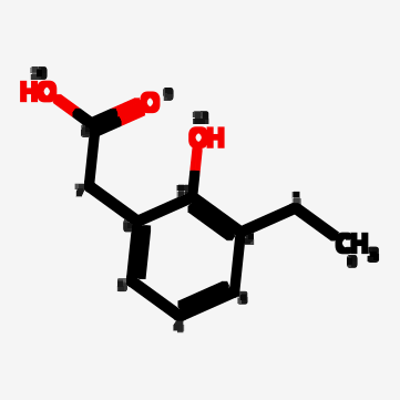 CCc1cccc(CC(=O)O)c1O